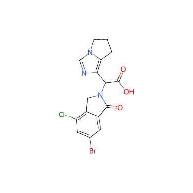 O=C(O)C(c1ncn2c1CCC2)N1Cc2c(Cl)cc(Br)cc2C1=O